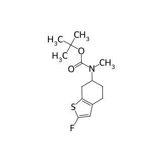 CN(C(=O)OC(C)(C)C)C1CCc2cc(F)sc2C1